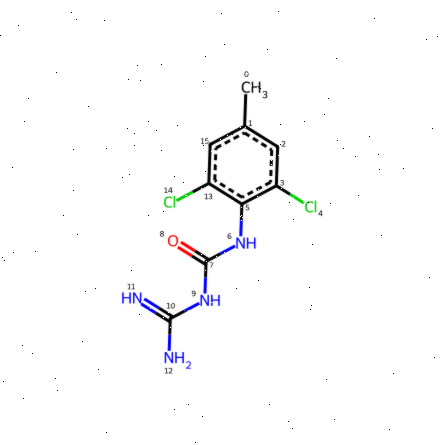 Cc1cc(Cl)c(NC(=O)NC(=N)N)c(Cl)c1